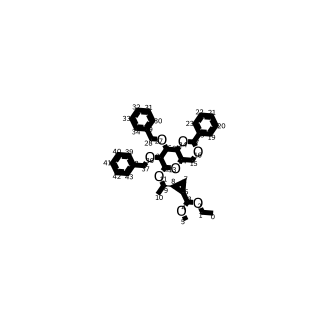 CCOC(OC)C1C[C@H]1C(C)OC1OC2COC(c3ccccc3)OC2C(OCc2ccccc2)C1OCc1ccccc1